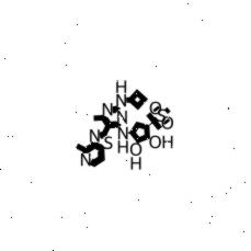 Cc1nc(NC2CCC2)nc(N[C@@H]2C[C@H](C(C)(C)S(C)(=O)=O)[C@@H](O)[C@H]2O)c1-c1nc2c(C)nccc2s1